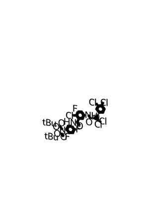 CC(C)(C)OC(=O)N(C(=O)OC(C)(C)C)c1cc(NC(=O)c2cc(NC(=O)[C@H]3[C@H](c4ccc(Cl)c(Cl)c4)C3(Cl)Cl)cc(F)c2Cl)c(F)cc1F